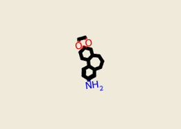 NC1=CC2CCCC3CC4(CCC3C2C=C1)OCCO4